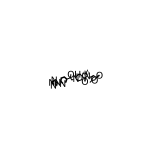 CC1OC(=O)C=C1N1C(=O)C2(CCN(CC(O)c3ccc(-n4cnnn4)nc3)CC2)C[C@H]1C